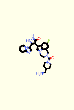 NCC1CCN(C(=O)N2CCn3cc(-c4c(-c5cnc6ccccn56)[nH][nH]c4=O)c4cc(F)cc(c43)C2)CC1